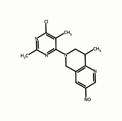 Cc1nc(Cl)c(C)c(N2Cc3cc(N=O)cnc3C(C)C2)n1